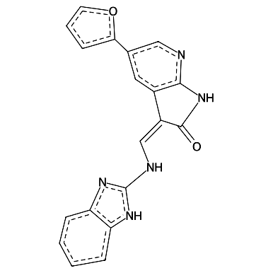 O=C1Nc2ncc(-c3ccco3)cc2C1=CNc1nc2ccccc2[nH]1